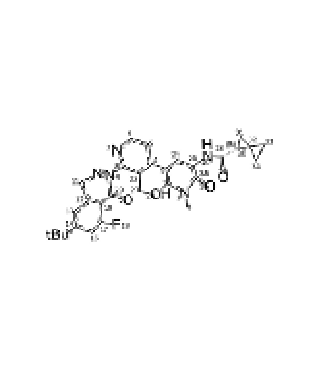 Cn1cc(-c2ccnc(-n3ncc4cc(C(C)(C)C)cc(F)c4c3=O)c2CO)cc(NC(=O)[C@@H]2CC23CC3)c1=O